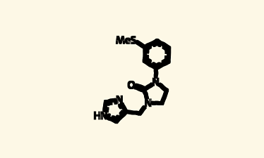 CSc1cccc(N2CCN(Cc3c[nH]cn3)C2=O)c1